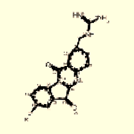 N=C(N)NCc1ccc2nc3n(c(=O)c2c1)-c1ccc(F)cc1C3=O